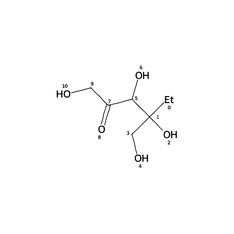 CCC(O)(CO)C(O)C(=O)CO